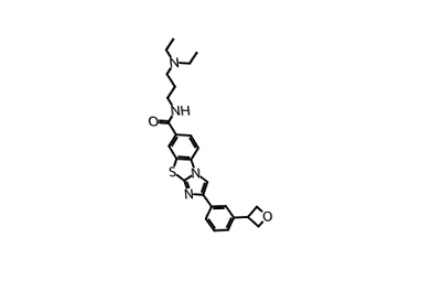 CCN(CC)CCCNC(=O)c1ccc2c(c1)sc1nc(-c3cccc(C4COC4)c3)cn12